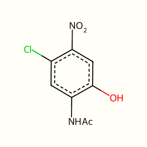 CC(=O)Nc1cc(Cl)c([N+](=O)[O-])cc1O